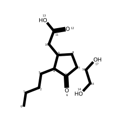 CCCCC1C(=O)CCC1CC(=O)O.OCCO